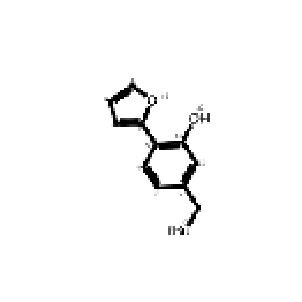 CC(C)(C)Cc1ccc(-c2ccco2)c(O)c1